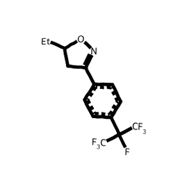 CCC1CC(c2ccc(C(F)(C(F)(F)F)C(F)(F)F)cc2)=NO1